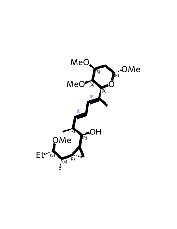 CC[C@H](OC)[C@@H](C)[C@H]1CC1[C@H](O)[C@@H](C)/C=C/C=C(\C)[C@@H]1O[C@@H](OC)C[C@H](OC)[C@@H]1OC